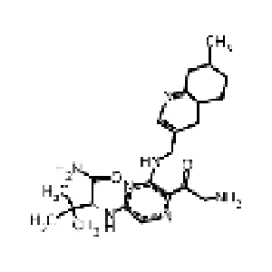 CC1CCC2CC(CNc3nc(N[C@@H](C(N)=O)C(C)(C)C)cnc3C(=O)CN)=CN=C2C1